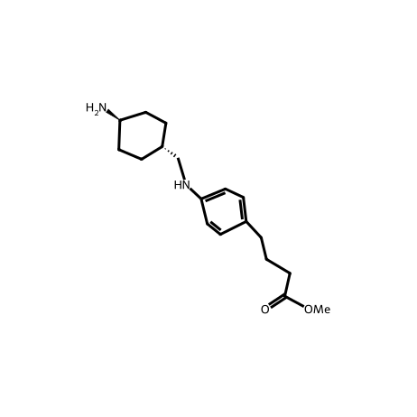 COC(=O)CCCc1ccc(NC[C@H]2CC[C@H](N)CC2)cc1